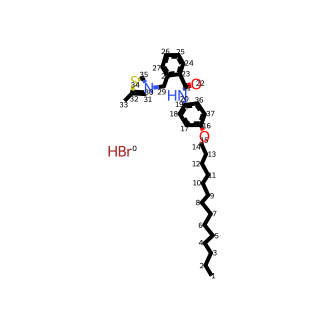 Br.CCCCCCCCCCCCCCOc1ccc(NC(=O)c2ccccc2CN2C=C(C)SC2)cc1